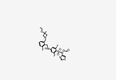 CCOC1(C)CN(Cc2cccc(F)c2CNc2cc(F)c(S(=O)(=O)N(OC=O)c3cscn3)c(F)c2)C1